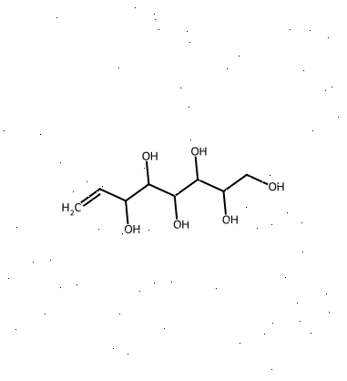 C=CC(O)C(O)C(O)C(O)C(O)CO